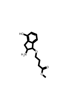 COC(=O)CCCOC1c2cccc(O)c2CC1N